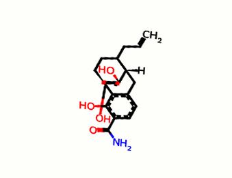 C=CCC1CC[C@]23CC(O)C=C[C@@]2(O)[C@H]1Cc1ccc(C(N)=O)c(O)c13